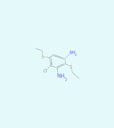 CCSc1cc(N)c(SCC)c(N)c1Cl